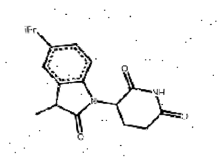 CC(C)c1ccc2c(c1)C(C)C(=O)N2C1CCC(=O)NC1=O